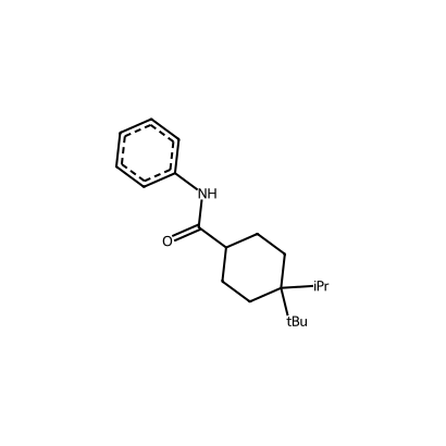 CC(C)C1(C(C)(C)C)CCC(C(=O)Nc2ccccc2)CC1